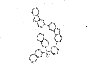 O=P(c1cccc(-c2ccc3sc4ccc(-c5ccc6sc7ccccc7c6c5)cc4c3c2)c1)(c1ccc2ccccc2c1)c1ccc2ccccc2c1